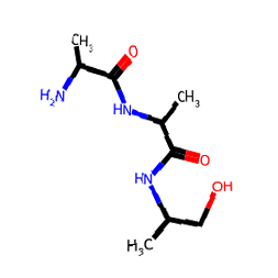 CC(CO)NC(=O)C(C)NC(=O)C(C)N